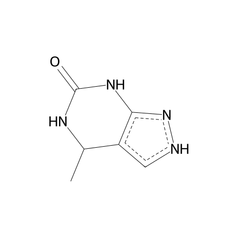 CC1NC(=O)Nc2n[nH]cc21